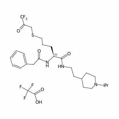 CC(C)N1CCC(CCNC(=O)[C@H](CCCSCC(=O)C(F)(F)F)NC(=O)Cc2ccccc2)CC1.O=C(O)C(F)(F)F